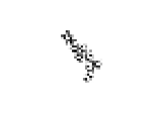 c1ccc(-c2ccc3c(c2)c2ccccc2n3-c2ccc(-c3ccccc3-c3ccccc3-c3ccc(-c4nc5ccccc5o4)cc3)cc2)cc1